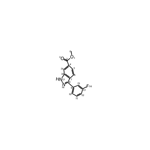 COC(=O)c1ccc2c(-c3cccc(F)c3)n[nH]c2c1